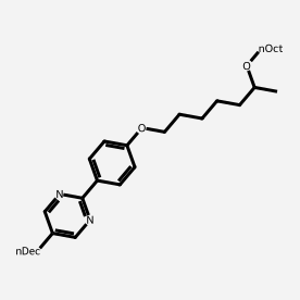 CCCCCCCCCCc1cnc(-c2ccc(OCCCCCC(C)OCCCCCCCC)cc2)nc1